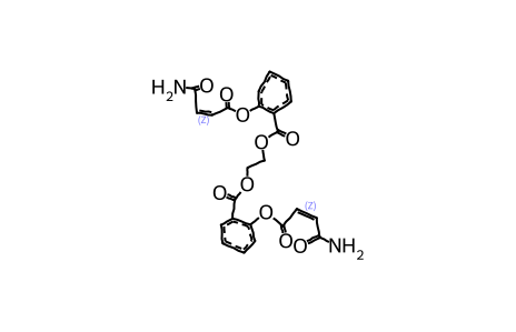 NC(=O)/C=C\C(=O)Oc1ccccc1C(=O)OCCOC(=O)c1ccccc1OC(=O)/C=C\C(N)=O